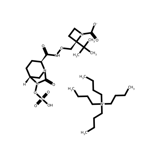 CC(C)(C)[C@]1(CONC(=O)[C@@H]2CC[C@@H]3CN2C(=O)N3OS(=O)(=O)O)CCN1C(=O)[O-].CCCC[N+](CCCC)(CCCC)CCCC